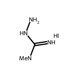 CNC(=N)NN.I